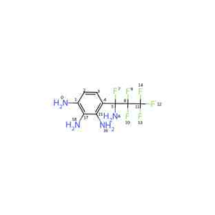 Nc1ccc(C(N)(F)C(F)(F)C(F)(F)F)c(N)c1N